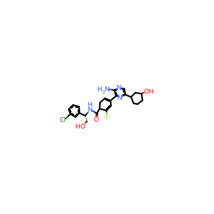 Nc1ncc(C2CCCC(O)C2)nc1C1=CCC(C(=O)N[C@H](CO)c2cccc(Cl)c2)C(F)=C1